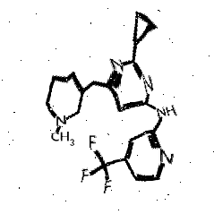 CN1CCCC(c2cc(Nc3cc(C(F)(F)F)ccn3)nc(C3CC3)n2)C1